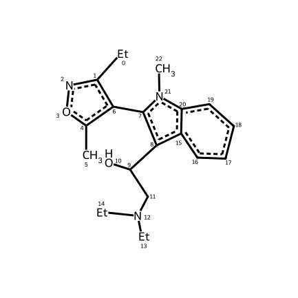 CCc1noc(C)c1-c1c(C(O)CN(CC)CC)c2ccccc2n1C